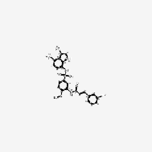 CCSc1ccc(S(=O)(=O)Nc2ccc(C)c3c(C#N)c[nH]c23)cc1NC(=O)C=Cc1cccc(F)c1